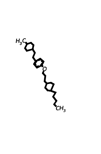 CCCCCC1CCC(CCCOc2ccc(CCC3CCC(C)CC3)cc2)CC1